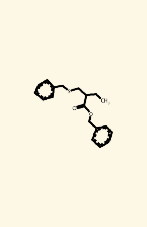 CCC(CSCc1ccccc1)C(=O)OCc1ccccc1